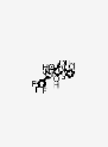 OCC1O[C@H](Sc2cccc(Cl)c2Cl)C(O)[C@@H](n2cc(-c3cc(F)c(F)c(F)c3)nn2)[C@H]1O